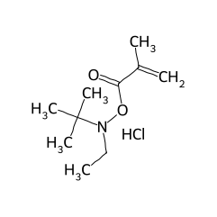 C=C(C)C(=O)ON(CC)C(C)(C)C.Cl